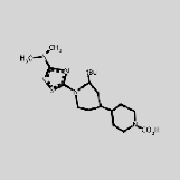 CN(C)c1nsc(N2CCC(C3CCN(C(=O)O)CC3)CC2C(C)(C)C)n1